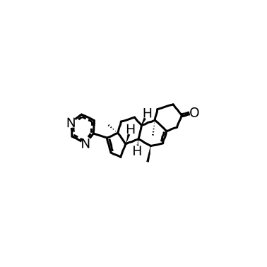 C[C@@H]1C=C2CC(=O)CC[C@]2(C)[C@H]2CC[C@]3(C)C(c4ccncn4)=CC[C@H]3[C@H]12